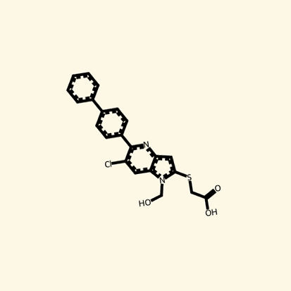 O=C(O)CSc1cc2nc(-c3ccc(-c4ccccc4)cc3)c(Cl)cc2n1CO